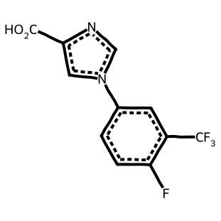 O=C(O)c1cn(-c2ccc(F)c(C(F)(F)F)c2)cn1